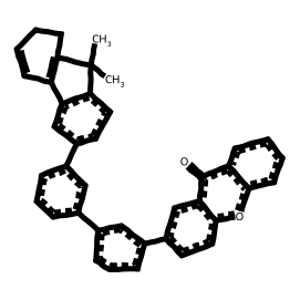 CC1(C)C2=C(C=CCC2)c2cc(-c3cccc(-c4cccc(-c5ccc6oc7ccccc7c(=O)c6c5)c4)c3)ccc21